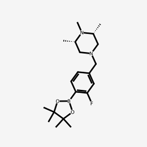 C[C@@H]1CN(Cc2ccc(B3OC(C)(C)C(C)(C)O3)c(F)c2)C[C@H](C)N1C